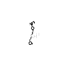 Cc1cccc(CCCNCC(O)COc2ccc(-c3noc4ccsc34)cc2)c1